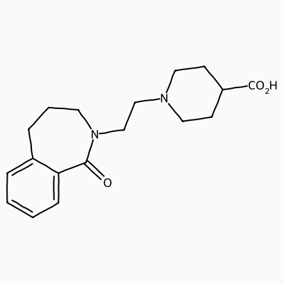 O=C(O)C1CCN(CCN2CCCc3ccccc3C2=O)CC1